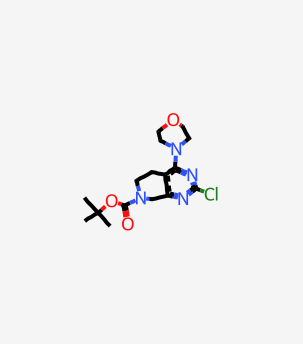 CC(C)(C)OC(=O)N1CCc2c(nc(Cl)nc2N2CCOCC2)C1